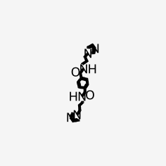 O=C(NCCCn1ccnc1)c1ccc(C(=O)NCCCn2ccnc2)cc1